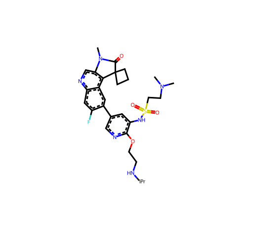 CC(C)NCCOc1ncc(-c2cc3c4c(cnc3cc2F)N(C)C(=O)C42CCC2)cc1NS(=O)(=O)CCN(C)C